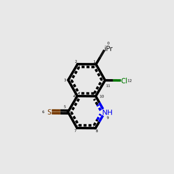 CC(C)c1ccc2c(=S)cc[nH]c2c1Cl